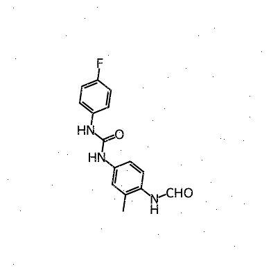 Cc1cc(NC(=O)Nc2ccc(F)cc2)ccc1NC=O